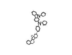 c1ccc(N(c2ccc(-c3ccc4c(c3)sc3c5ccccc5ccc43)cc2)c2ccc3c4ccccc4n(-c4ccccc4)c3c2)cc1